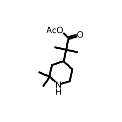 CC(=O)OC(=O)C(C)(C)C1CCNC(C)(C)C1